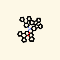 c1ccc(-c2ccc(N(c3ccc4c5ccccc5c5ccccc5c4c3)c3cc4c(cc3-c3ccc5ccccc5c3)-c3ccccc3C43c4ccccc4-c4ccccc43)cc2-c2ccccc2)cc1